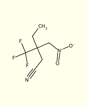 CCC(CC#N)(C[N+](=O)[O-])C(F)(F)F